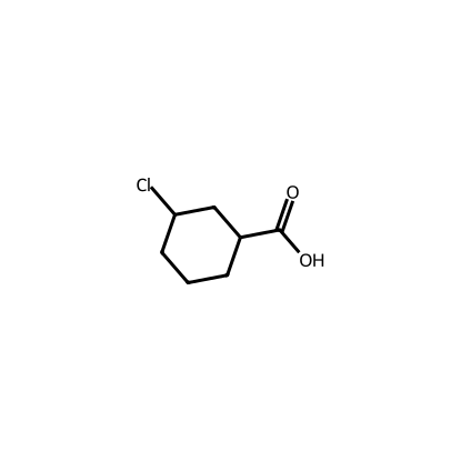 O=C(O)C1CCCC(Cl)C1